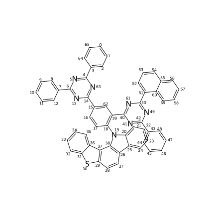 c1ccc(-c2nc(-c3ccccc3)nc(-c3ccc(-n4c5ccccc5c5ccc6sc7ccccc7c6c54)c(-c4nc(-c5ccccc5)nc(-c5cccc6ccccc56)n4)c3)n2)cc1